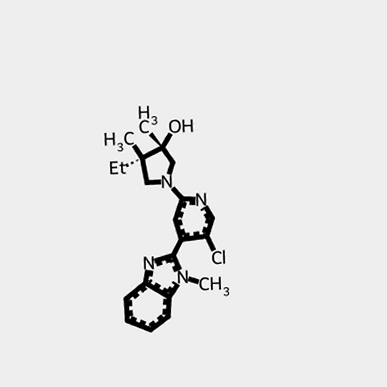 CC[C@@]1(C)CN(c2cc(-c3nc4ccccc4n3C)c(Cl)cn2)C[C@@]1(C)O